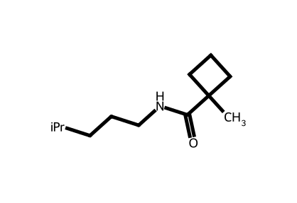 CC(C)CCCNC(=O)C1(C)CCC1